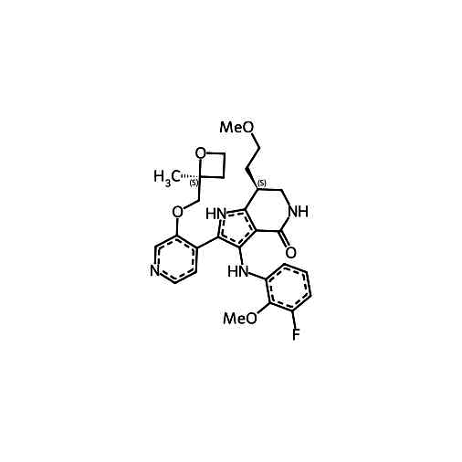 COCC[C@H]1CNC(=O)c2c1[nH]c(-c1ccncc1OC[C@]1(C)CCO1)c2Nc1cccc(F)c1OC